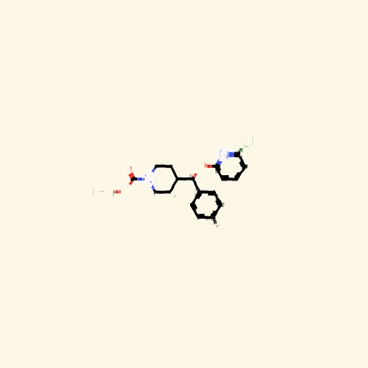 CC(C)(C)OC(=O)N1CCC(C(Oc2cccc(Cl)n2)c2ccc(C(F)(F)F)cc2)CC1